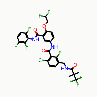 CC(C)(C(=O)NCc1ccc(Cl)c(C(=O)Nc2ccc(OCC(F)F)c(C(=O)Nc3c(F)ccc(F)c3F)c2)c1F)C(F)(F)F